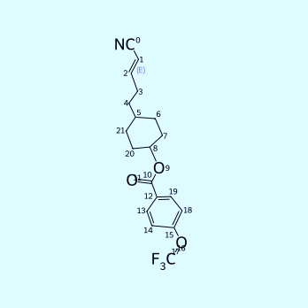 N#C/C=C/CCC1CCC(OC(=O)c2ccc(OC(F)(F)F)cc2)CC1